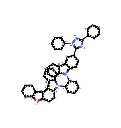 c1ccc(-c2nc(-c3ccc4c(c3)c3ccccc3n4-c3ccccc3-n3c4ccccc4c4c5c(ccc43)oc3ccccc35)n(-c3ccccc3)n2)cc1